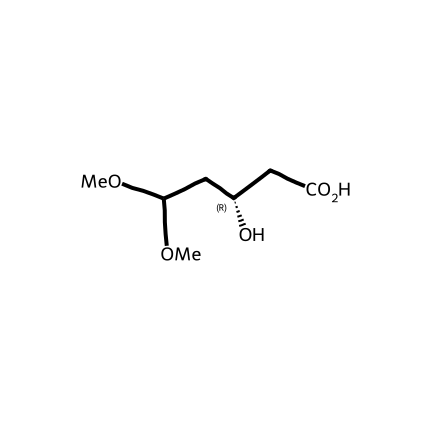 COC(C[C@@H](O)CC(=O)O)OC